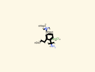 CCCCCCCCCCCCc1ccccc1C(C)(C)N.CCCCCCC[N+](C)(C)CCCCCCC.Cl.[Cl-]